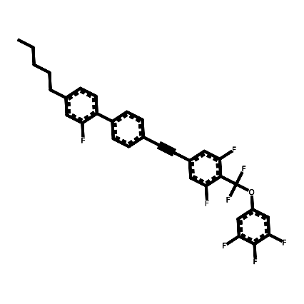 CCCCCc1ccc(-c2ccc(C#Cc3cc(F)c(C(F)(F)Oc4cc(F)c(F)c(F)c4)c(F)c3)cc2)c(F)c1